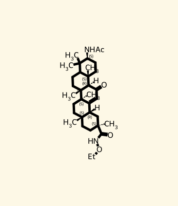 CCONC(=O)[C@@]1(C)CC[C@]2(C)CC[C@]3(C)C(=CC(=O)[C@@H]4[C@@]5(C)CC[C@H](NC(C)=O)C(C)(C)C5CC[C@]43C)[C@@H]2C1